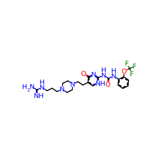 N=C(N)NCCCN1CCN(CCc2c[nH]c(NC(=O)Nc3ccccc3OC(F)(F)F)nc2=O)CC1